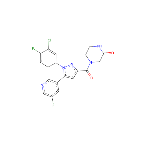 O=C1CN(C(=O)c2cc(-c3cncc(F)c3)n(C3C=C(Cl)C(F)=CC3)n2)CCN1